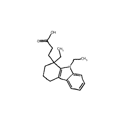 CCn1c2c(c3ccccc31)CCCC2(CC)CCC(=O)O